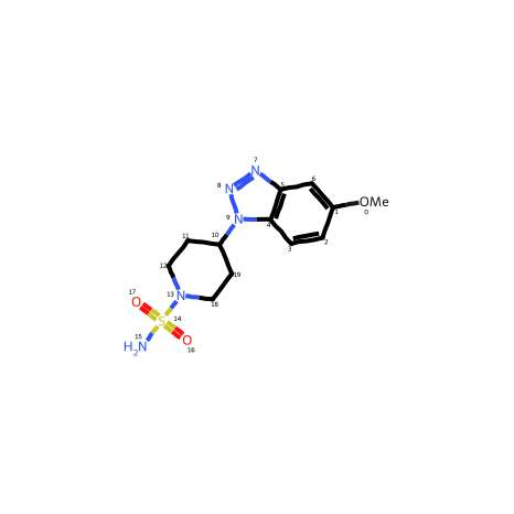 COc1ccc2c(c1)nnn2C1CCN(S(N)(=O)=O)CC1